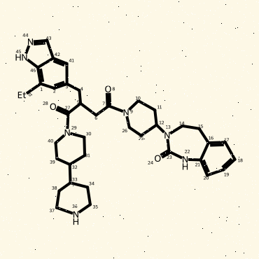 CCc1cc(CC(CC(=O)N2CCC(N3CCc4ccccc4NC3=O)CC2)C(=O)N2CCC(C3CCNCC3)CC2)cc2cn[nH]c12